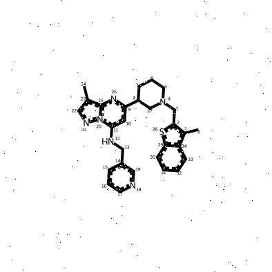 Cc1c(CN2CCCC(c3cc(NCc4cccnc4)n4ncc(C)c4n3)C2)sc2ccccc12